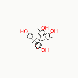 Cc1cc(CC(CC(C)(c2ccc(O)cc2)c2ccc(O)cc2)(c2ccccc2)c2ccc(O)c(C)c2)ccc1O